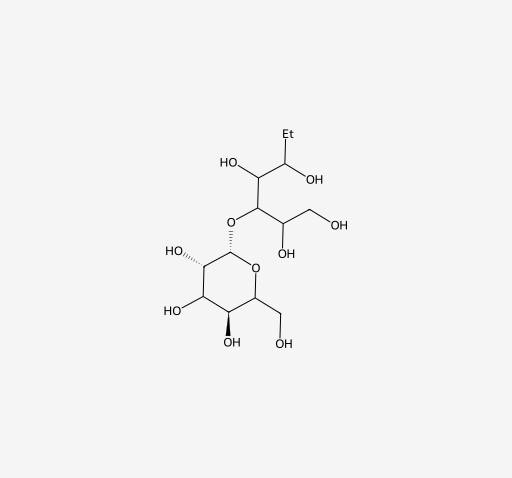 CCC(O)C(O)C(O[C@@H]1OC(CO)[C@@H](O)C(O)[C@@H]1O)C(O)CO